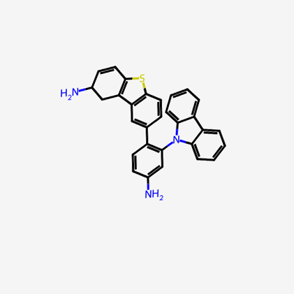 Nc1ccc(-c2ccc3sc4c(c3c2)CC(N)C=C4)c(-n2c3ccccc3c3ccccc32)c1